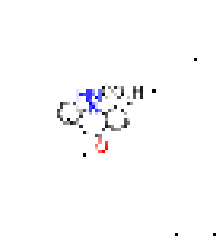 O=C(O)NN1c2ccccc2CC(=O)c2ccccc21